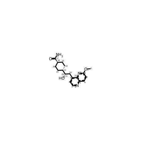 COc1ccc2nccc(C[C@H](O)[C@H]3CC[C@H](C(N)=O)CC3)c2n1